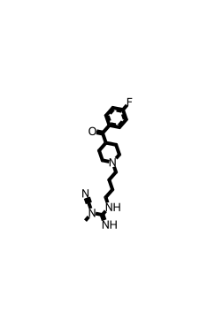 CN(C#N)C(=N)NCCCCN1CCC(C(=O)c2ccc(F)cc2)CC1